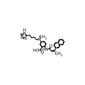 C/C(=C/C(=O)Nc1ccc(N(C)CCCCc2nnn[nH]2)cc1C(=O)O)c1ccc2ccccc2c1